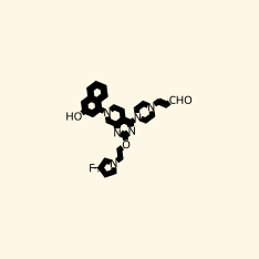 O=CC=CN1CCN(c2nc(OCCN3CC[C@H](F)C3)nc3c2CCN(c2cc(O)cc4ccccc24)C3)CC1